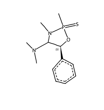 CN(C)C1[C@H](c2ccccc2)OP(C)(=S)N1C